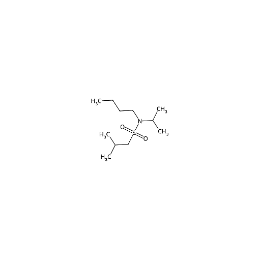 CCCCN(C(C)C)S(=O)(=O)CC(C)C